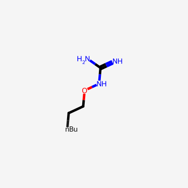 CCCCCCONC(=N)N